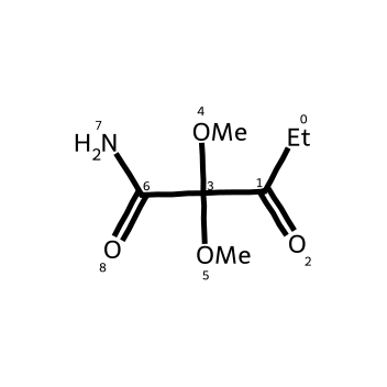 CCC(=O)C(OC)(OC)C(N)=O